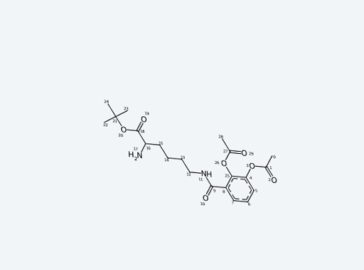 CC(=O)Oc1cccc(C(=O)NCCCCC(N)C(=O)OC(C)(C)C)c1OC(C)=O